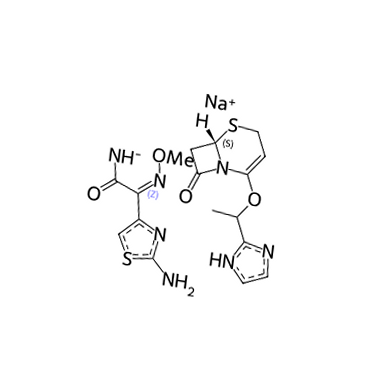 CC(OC1=CCS[C@H]2CC(=O)N12)c1ncc[nH]1.CO/N=C(\C([NH-])=O)c1csc(N)n1.[Na+]